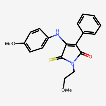 COCCN1C(=O)C(c2ccccc2)=C(Nc2ccc(OC)cc2)C1=S